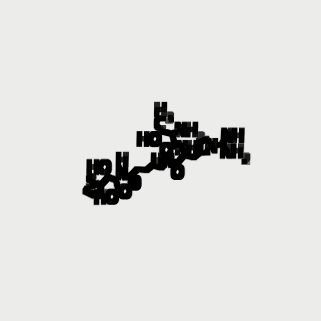 CC(O)C(N)C(=O)NC(CC1=CCN(C(=N)N)C1)C(=O)NCCCCC(=O)NC(C(=O)O)C(O)c1cccs1